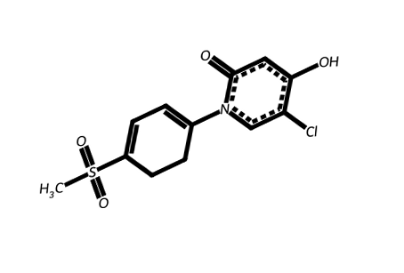 CS(=O)(=O)C1=CC=C(n2cc(Cl)c(O)cc2=O)CC1